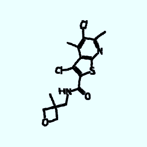 Cc1nc2sc(C(=O)NCC3(C)COC3)c(Cl)c2c(C)c1Cl